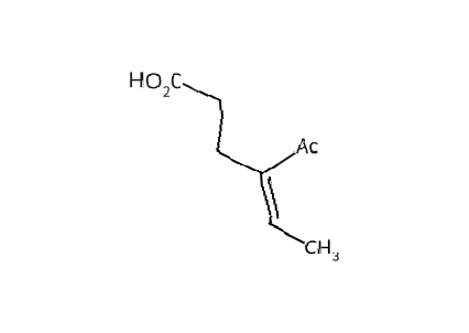 C/C=C(/CCC(=O)O)C(C)=O